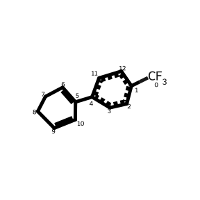 FC(F)(F)c1ccc(C2=CCCC=C2)cc1